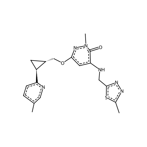 Cc1ccc([C@H]2C[C@@H]2COc2cc(NCc3nnc(C)s3)c(=O)n(C)n2)nc1